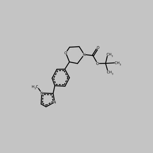 Cn1ccnc1-c1ccc(C2CN(C(=O)OC(C)(C)C)CCO2)cc1